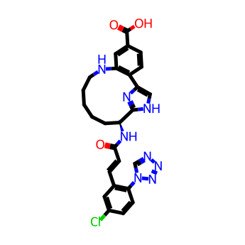 O=C(/C=C/c1cc(Cl)ccc1-n1cnnn1)N[C@H]1CCCCCNc2cc(C(=O)O)ccc2-c2c[nH]c1n2